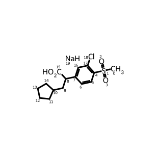 CS(=O)(=O)c1ccc(C(CC2CCCC2)C(=O)O)cc1Cl.[NaH]